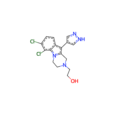 OCCN1CCn2c(c(-c3cn[nH]c3)c3ccc(Cl)c(Cl)c32)C1